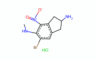 CNc1c(Br)cc2c(c1[N+](=O)[O-])CC(N)C2.Cl